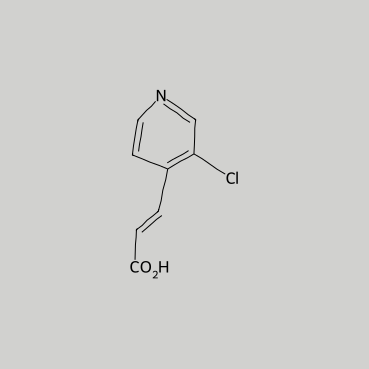 O=C(O)C=Cc1ccncc1Cl